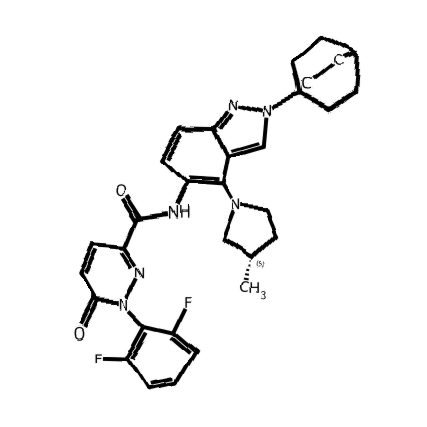 C[C@H]1CCN(c2c(NC(=O)c3ccc(=O)n(-c4c(F)cccc4F)n3)ccc3nn(C45CCC(CC4)CC5)cc23)C1